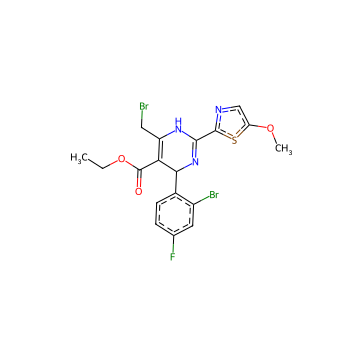 CCOC(=O)C1=C(CBr)NC(c2ncc(OC)s2)=NC1c1ccc(F)cc1Br